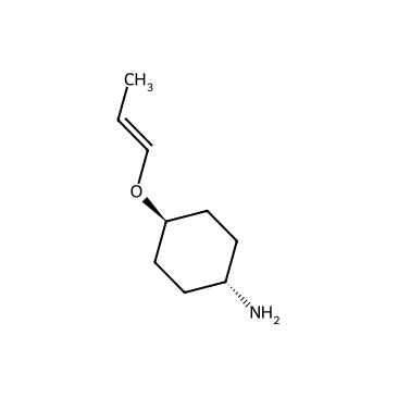 CC=CO[C@H]1CC[C@H](N)CC1